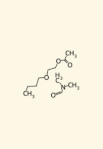 CCCCOCCOC(C)=O.CN(C)C=O